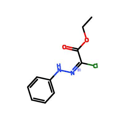 CCOC(=O)/C(Cl)=N\Nc1ccccc1